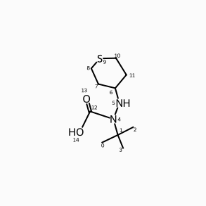 CC(C)(C)N(NC1CCSCC1)C(=O)O